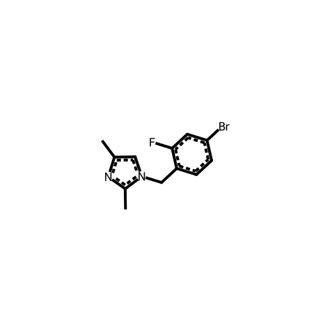 Cc1cn(Cc2ccc(Br)cc2F)c(C)n1